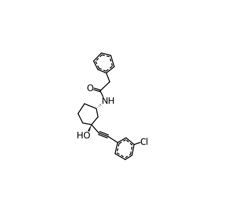 O=C(Cc1ccccc1)N[C@H]1CCC[C@@](O)(C#Cc2cccc(Cl)c2)C1